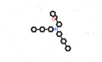 c1ccc(-c2ccc(-c3ccc(N(c4ccc(-c5ccc(-c6ccccc6)cc5)cc4)c4cccc(-c5cc6ccccc6o5)c4)cc3)cc2)cc1